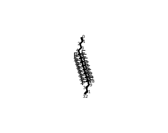 C=CCCCC(F)(F)C(F)(F)C(F)(F)C(F)(F)C(F)(F)C(F)(F)C(F)(F)C(F)(F)CCC=C